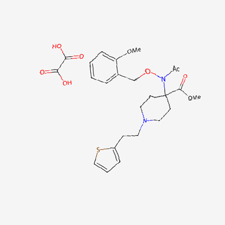 COC(=O)C1(N(OCc2ccccc2OC)C(C)=O)CCN(CCc2cccs2)CC1.O=C(O)C(=O)O